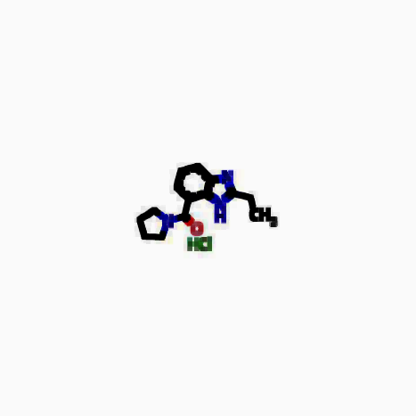 CCc1nc2cccc(C(=O)N3CCCC3)c2[nH]1.Cl